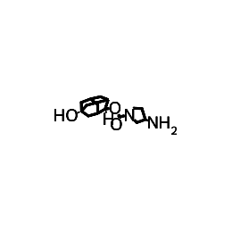 N[C@@H]1CCN(C(=O)O[C@H]2C3CC4CC2C[C@](O)(C4)C3)C1